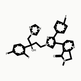 CN1Cc2nccc(-c3cn(CC[C@@](O)(Cn4cncn4)c4ccc(F)cc4F)nc3-c3ccc(F)cc3)c2C1=O